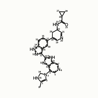 CC1=CN(c2cncc3[nH]c(-c4n[nH]c5ccc(C6=CN=CC(NC(=O)C7CC7)C6)cc45)nc23)CN1